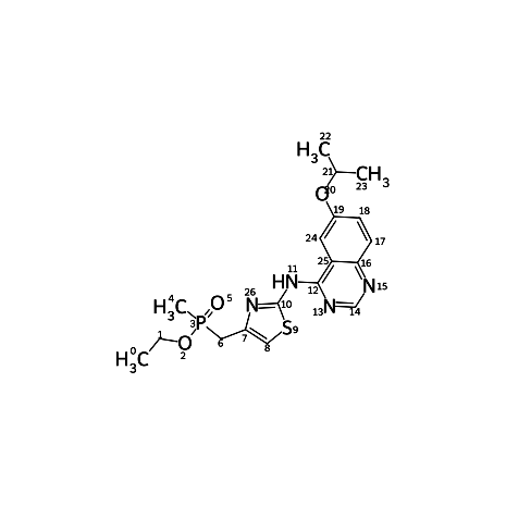 CCOP(C)(=O)Cc1csc(Nc2ncnc3ccc(OC(C)C)cc23)n1